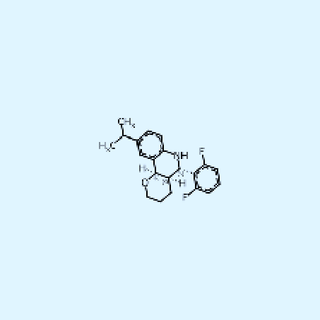 CC(C)c1ccc2c(c1)[C@@H]1OCCC[C@@H]1[C@@H](c1c(F)cccc1F)N2